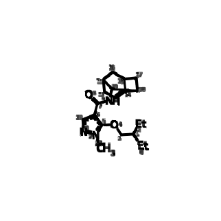 CCC(CC)COc1c(C(=O)NC2C3CC=C4C(C3)CC42)cnn1C